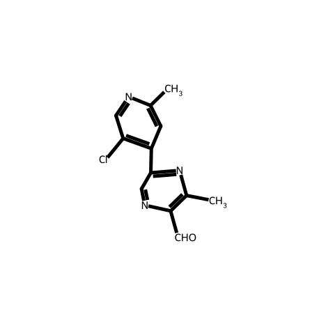 Cc1cc(-c2cnc(C=O)c(C)n2)c(Cl)cn1